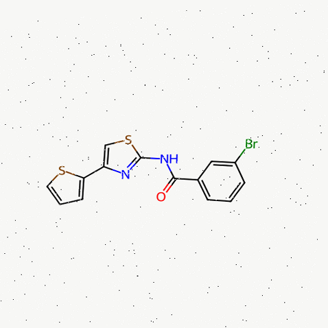 O=C(Nc1nc(-c2cccs2)cs1)c1cccc(Br)c1